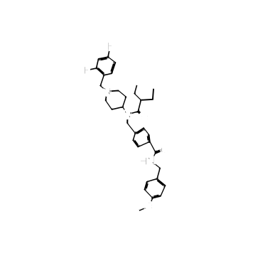 CCC(CC)C(=O)N(Cc1ccc(C(=O)NCc2ccc(OC)cc2)cc1)C1CCN(Cc2ccc(F)cc2F)CC1